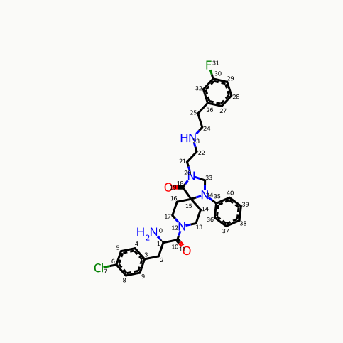 N[C@H](Cc1ccc(Cl)cc1)C(=O)N1CCC2(CC1)C(=O)N(CCNCCc1cccc(F)c1)CN2c1ccccc1